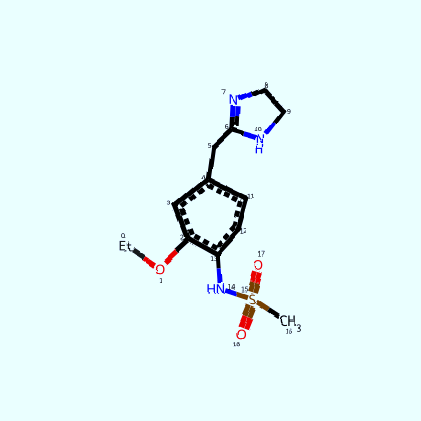 CCOc1cc(CC2=NCCN2)ccc1NS(C)(=O)=O